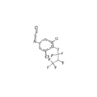 O=C=Nc1cc(Cl)c(OC(F)(F)C(F)C(F)(F)F)c(Cl)c1